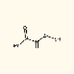 CC(C)C(=O)NSS